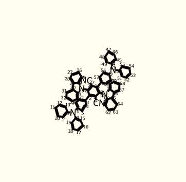 N#Cc1c(-c2ccc(N(c3ccccc3)c3ccccc3)cc2)c(-n2c3ccccc3c3ccccc32)c(C#N)c(-c2ccc(N(c3ccccc3)c3ccccc3)cc2)c1-n1c2ccccc2c2ccccc21